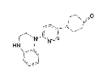 O=C1CCN(c2ccc(N3CCNc4ccccc43)nc2)CC1